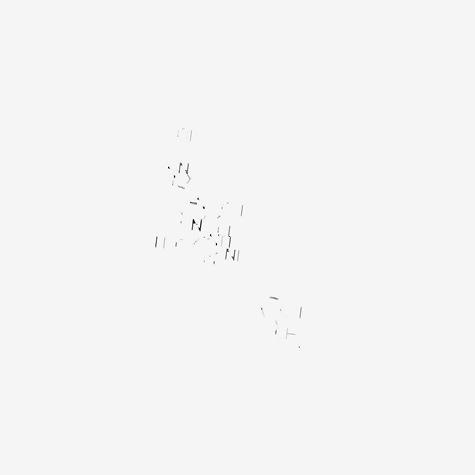 C=C/C=C\C(=C/C)CCCCNC(=O)NC(=C/C)/N=C(/N=C(\C=C)c1cnn(CCO)c1)C(=C)C